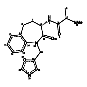 CNC(C)C(=O)N[C@H]1CCc2ccccc2N(Cc2cnco2)C1=O